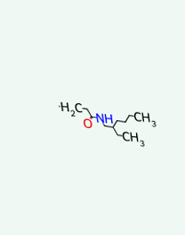 [CH2]CC(=O)NCC(CC)CCCC